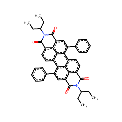 CCC(CC)N1C(=O)c2ccc3c4c(-c5ccccc5)cc5c6c(ccc(c7c(-c8ccccc8)cc(c2c37)C1=O)c64)C(=O)N(C(CC)CC)C5=O